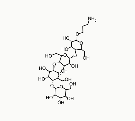 NCCCO[C@@H]1OC(CO)[C@@H](O[C@@H]2OC(CO)[C@@H](O[C@H]3OC(CO)[C@H](O[C@H]4OC(CO)[C@@H](O)[C@H](O)C4O)[C@H](O)C3O)C(O)[C@@H]2O)C(O)[C@@H]1O